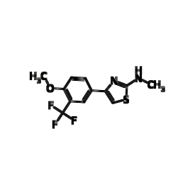 CNc1nc(-c2ccc(OC)c(C(F)(F)F)c2)cs1